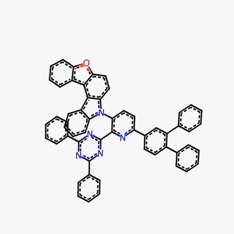 c1ccc(-c2nc(-c3ccccc3)nc(-c3nc(-c4ccc(-c5ccccc5)c(-c5ccccc5)c4)ccc3-n3c4ccccc4c4c5c(ccc43)oc3ccccc35)n2)cc1